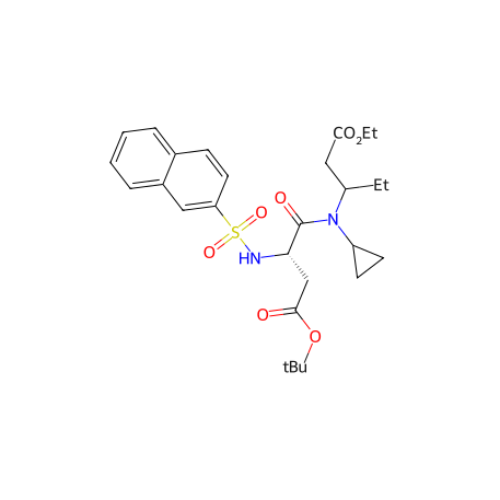 CCOC(=O)CC(CC)N(C(=O)[C@H](CC(=O)OC(C)(C)C)NS(=O)(=O)c1ccc2ccccc2c1)C1CC1